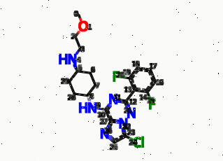 COCCN[C@H]1CC[C@H](Nc2nc(-c3c(F)cccc3F)nn3c(Cl)cnc23)CC1